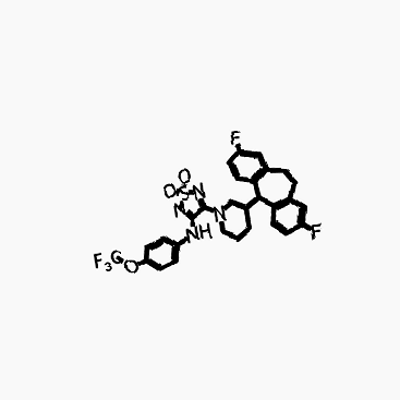 O=S1(=O)N=C(Nc2ccc(OC(F)(F)F)cc2)C(N2CCCC(C3c4ccc(F)cc4CCc4cc(F)ccc43)C2)=N1